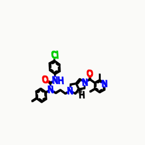 Cc1ccc(N(CCCN2CC3=CN(C(=O)c4c(C)ccnc4C)C[C@@H]3C2)C(=O)Nc2ccc(Cl)cc2)cc1